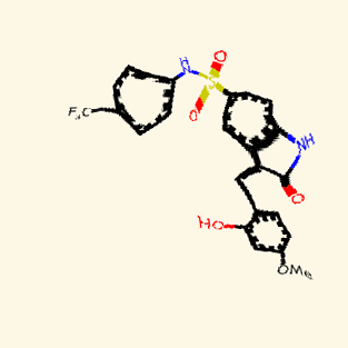 COc1ccc(C=C2C(=O)Nc3ccc(S(=O)(=O)Nc4ccc(C(F)(F)F)cc4)cc32)c(O)c1